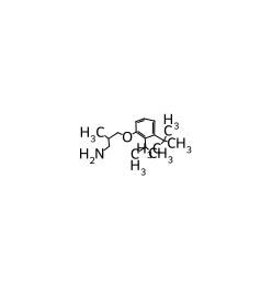 CC(CN)COc1cccc(C(C)(C)C)c1C(C)C